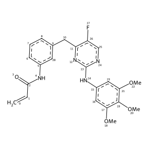 C=CC(=O)Nc1cccc(Cc2nc(Nc3cc(OC)c(OC)c(OC)c3)ncc2F)c1